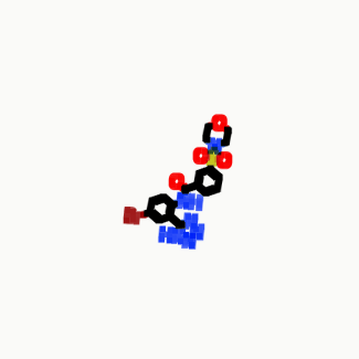 O=C(Nc1ccc(Br)cc1-c1nnn[nH]1)c1cccc(S(=O)(=O)N2CCOCC2)c1